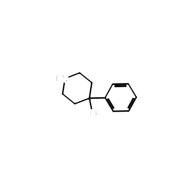 FC(F)(F)C1(c2ccccc2)CCNCC1